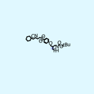 CC(C)(C)OC(=O)NC/C(=C\F)COc1ccc(S(=O)(=O)CCCCC2(C#N)CCCCC2)cc1